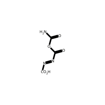 NC(=O)OC(=O)N=NC(=O)O